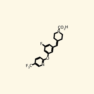 O=C(O)N1CCC(=Cc2cc(F)cc(Oc3ccc(C(F)(F)F)cn3)c2)CC1